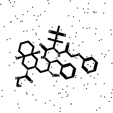 CO[C@H](CN1C[C@H]2CCCC[C@H]2C[C@H]1C(=O)NC(C)(C)C)[C@H](Cc1ccccc1)NC(=O)[C@H](NC(=O)COc1cccnc1)C(C)(C)S(C)(=O)=O